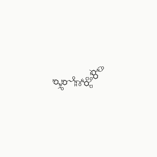 CC(=O)N(c1ccncc1)c1ccc(C=CC(=O)NCC(=O)N(C)c2ccc(Cl)c(COc3cccc4c(N5CCOCC5)cc(C)nc34)c2Cl)cn1